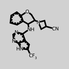 N#CC1CN(C2COc3ccccc3C2Nc2ncnc3[nH]c(C(F)(F)F)cc23)C1